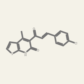 Cc1c(C(=O)C=Cc2ccc(Cl)cc2)c(=O)[nH]c2sccc12